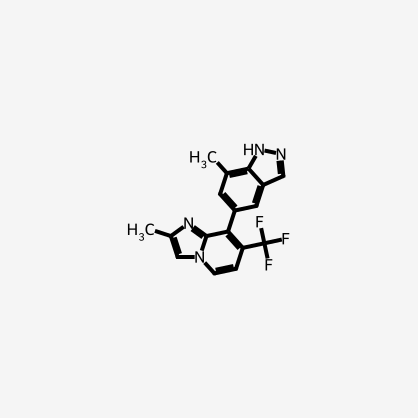 Cc1cn2ccc(C(F)(F)F)c(-c3cc(C)c4[nH]ncc4c3)c2n1